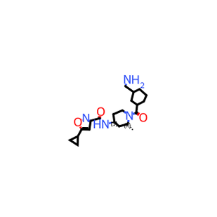 C[C@@H]1C[C@@H](NC(=O)c2cc(C3CC3)on2)CCN1C(=O)C1CCCC(CN)C1